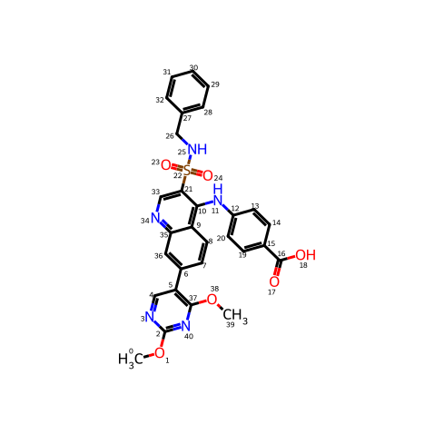 COc1ncc(-c2ccc3c(Nc4ccc(C(=O)O)cc4)c(S(=O)(=O)NCc4ccccc4)cnc3c2)c(OC)n1